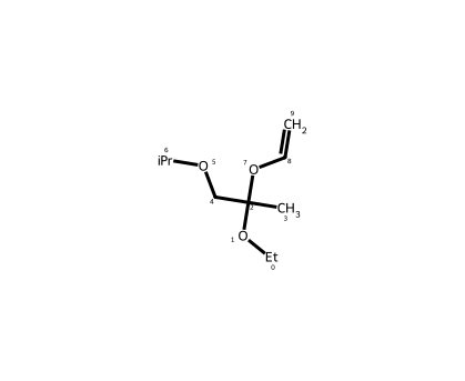 [CH2]COC(C)(COC(C)C)OC=C